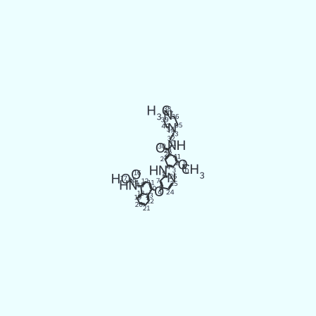 COc1cc(Nc2cc(Oc3ccc(NC(=O)O)c4ccccc34)ccn2)cc(C(=O)NCCN2CCN(C)CC2)c1